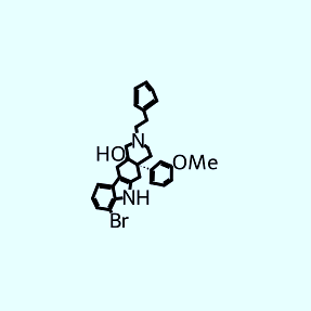 COc1cccc([C@@]23CCN(CCc4ccccc4)C[C@@]2(O)Cc2c([nH]c4c(Br)cccc24)C3)c1